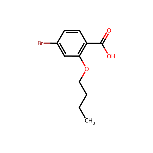 CCCCOc1cc(Br)ccc1C(=O)O